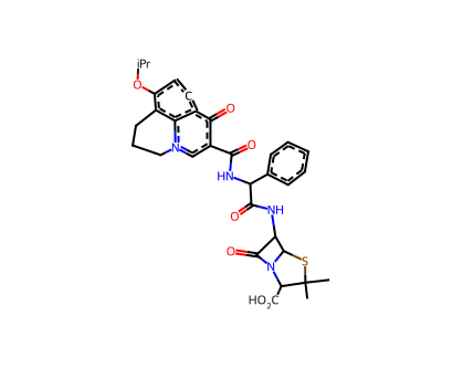 CC(C)Oc1ccc2c(=O)c(C(=O)NC(C(=O)NC3C(=O)N4C3SC(C)(C)C4C(=O)O)c3ccccc3)cn3c2c1CCC3